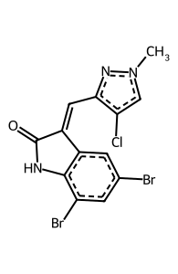 Cn1cc(Cl)c(C=C2C(=O)Nc3c(Br)cc(Br)cc32)n1